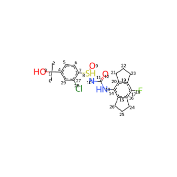 CC(C)(O)c1ccc([SH](=O)=NC(=O)Nc2c3c(c(F)c4c2CCC4)CCC3)c(Cl)c1